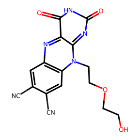 N#Cc1cc2nc3c(=O)[nH]c(=O)nc-3n(CCOCCO)c2cc1C#N